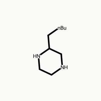 [CH2]CCCCC1CNCCN1